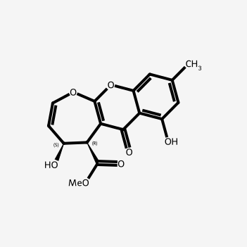 COC(=O)[C@@H]1c2c(oc3cc(C)cc(O)c3c2=O)OC=C[C@@H]1O